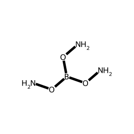 NOB(ON)ON